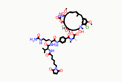 COc1cc2cc(c1Cl)N(C)C(O)C[C@H](OC(=O)[C@H](C)N(C)C(=O)c1ccc(NC(=O)[C@H](CCCNC(N)=O)NC(=O)[C@@H](NC(=O)CCCCCN3C(=O)C=CC3=O)C(C)C)cc1)[C@]1(C)O[C@H]1[C@H](C)[C@@H]1C[C@@](O)(NC(=O)O1)[C@H](OC)/C=C/C=C(\C)C2